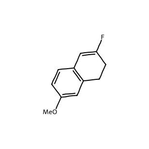 COc1ccc2c(c1)CCC(F)=C2